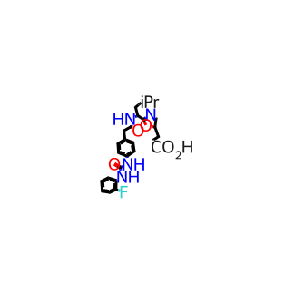 CC(C)CC(NC(=O)Cc1ccc(NC(=O)Nc2ccccc2F)cc1)C1=NCC(CCC(=O)O)O1